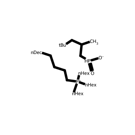 CC(C[PH](=O)[O-])CC(C)(C)C.CCCCCCCCCCCCCC[P+](CCCCCC)(CCCCCC)CCCCCC